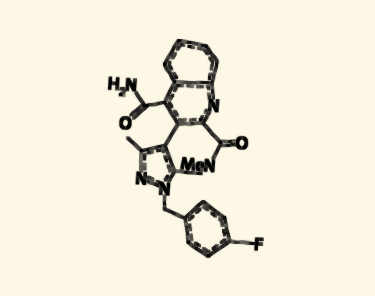 CNC(=O)c1nc2ccccc2c(C(N)=O)c1-c1c(C)nn(Cc2ccc(F)cc2)c1C